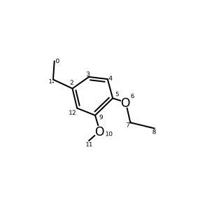 C[CH]c1ccc(OCC)c(OC)c1